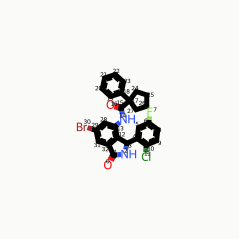 O=C1NC(c2cc(F)ccc2Cl)c2c(NC(=O)C3(c4ccccc4)CCCC3)cc(Br)cc21